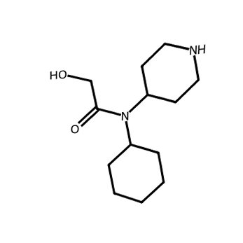 O=C(CO)N(C1CCCCC1)C1CCNCC1